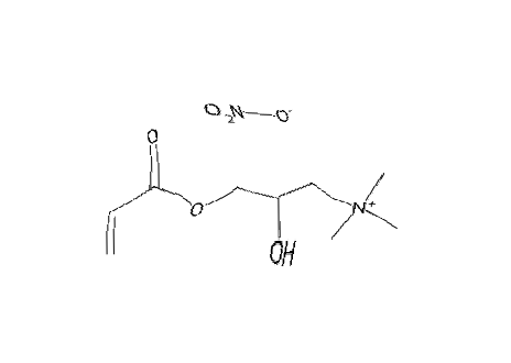 C=CC(=O)OCC(O)C[N+](C)(C)C.O=[N+]([O-])[O-]